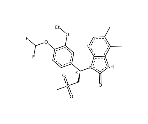 CCOc1cc([C@H](CS(C)(=O)=O)n2c(=O)[nH]c3c(C)c(C)cnc32)ccc1OC(F)F